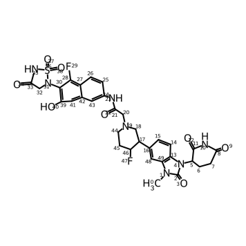 Cn1c(=O)n(C2CCC(=O)NC2=O)c2ccc(C3CN(CC(=O)Nc4ccc5c(F)c(N6CC(=O)NS6(=O)=O)c(O)cc5c4)CCC3F)cc21